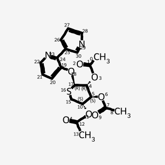 CC(=O)O[C@@H]1[C@@H](OC(C)=O)[C@H](OC(C)=O)CS[C@H]1Oc1cccnc1-c1cccnc1